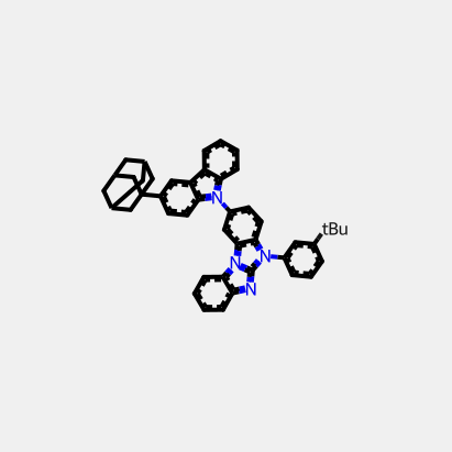 CC(C)(C)c1cccc(-n2c3ccc(-n4c5ccccc5c5cc(C67CC8CC(CC(C8)C6)C7)ccc54)cc3n3c4ccccc4nc23)c1